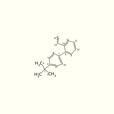 CC(C)(C)c1ccc(-c2ccccc2C=S)cc1